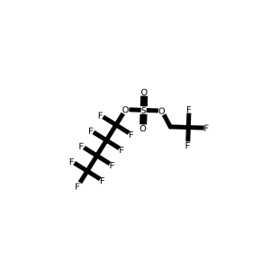 O=S(=O)(OCC(F)(F)F)OC(F)(F)C(F)(F)C(F)(F)C(F)(F)F